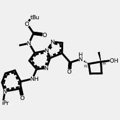 CC(C)n1cccc(Nc2cc(N(C)C(=O)OC(C)(C)C)n3ncc(C(=O)N[C@H]4CC[C@@]4(C)O)c3n2)c1=O